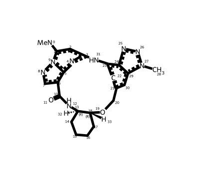 CNc1cc2nc3c(cnn13)C(=O)N[C@@H]1CCCC[C@H]1OCc1cc(c3nnn(C)c3c1)N2